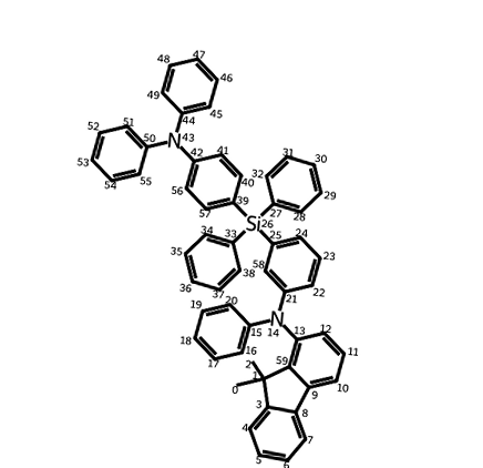 CC1(C)c2ccccc2-c2cccc(N(c3ccccc3)c3cccc([Si](c4ccccc4)(c4ccccc4)c4ccc(N(c5ccccc5)c5ccccc5)cc4)c3)c21